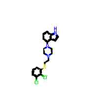 Clc1cccc(SCCN2CCN(c3cccc4[nH]ccc34)CC2)c1Cl